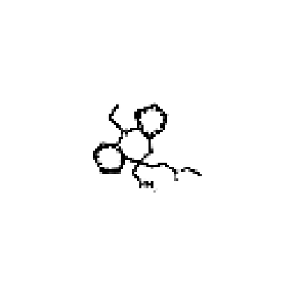 CCNCCC1(CN)Cc2ccccc2N(CC)c2ccccc21